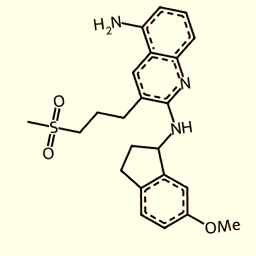 COc1ccc2c(c1)C(Nc1nc3cccc(N)c3cc1CCCS(C)(=O)=O)CC2